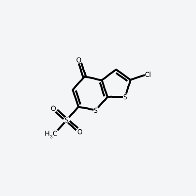 CS(=O)(=O)c1cc(=O)c2cc(Cl)sc2s1